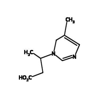 CC1=CN=CN(C(C)CC(=O)O)C1